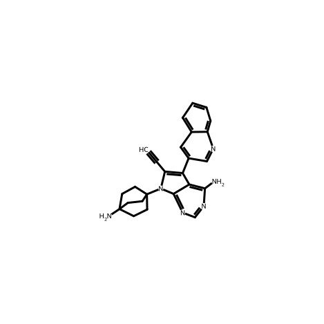 C#Cc1c(-c2cnc3ccccc3c2)c2c(N)ncnc2n1C12CCC(N)(CC1)CC2